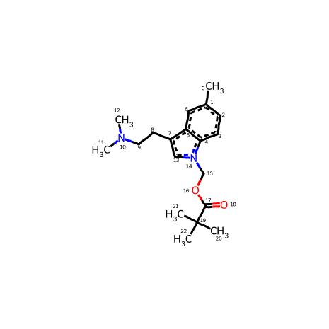 Cc1ccc2c(c1)c(CCN(C)C)cn2COC(=O)C(C)(C)C